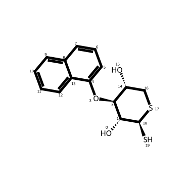 O[C@@H]1[C@@H](Oc2cccc3ccccc23)[C@H](O)CS[C@H]1S